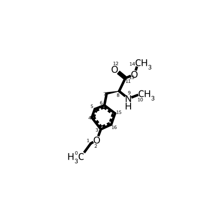 CCOc1ccc(C[C@H](NC)C(=O)OC)cc1